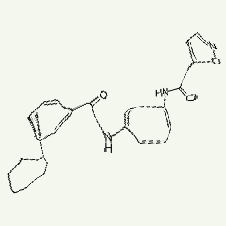 O=C(Nc1cccc(NC(=O)c2ccno2)c1)c1cccc(C2CCCCC2)c1